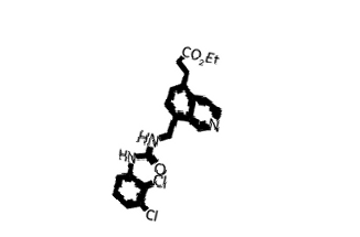 CCOC(=O)CCc1ccc(CNC(=O)Nc2cccc(Cl)c2Cl)c2cnccc12